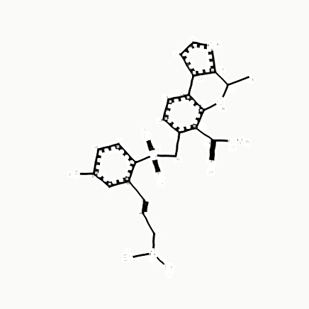 CCN(CC)CC=Cc1cc(F)ccc1S(=O)(=O)Cc1ccc2c(c1C(=O)OC)OC(C)c1occc1-2